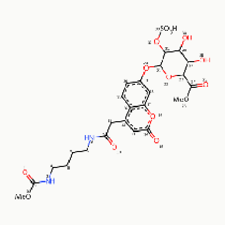 COC(=O)NCCCCNC(=O)Cc1cc(=O)oc2cc(OC3OC(C(=O)OC)C(O)C(O)C3OS(=O)(=O)O)ccc12